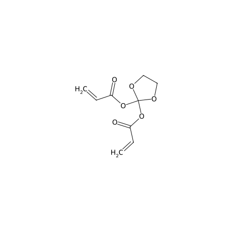 C=CC(=O)OC1(OC(=O)C=C)OCCO1